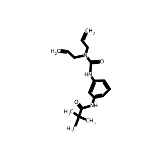 C=CCN(CC=C)C(=O)Nc1cccc(NC(=O)C(C)(C)C)c1